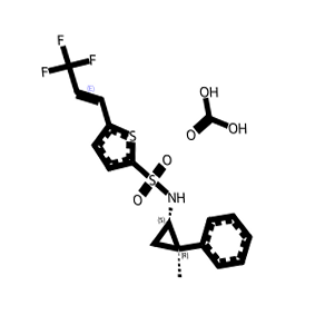 C[C@]1(c2ccccc2)C[C@@H]1NS(=O)(=O)c1ccc(/C=C/C(F)(F)F)s1.O=C(O)O